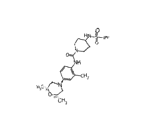 Cc1cc(N2C[C@@H](C)O[C@@H](C)C2)ccc1NC(=O)N1CCC(NS(=O)(=O)C(C)C)CC1